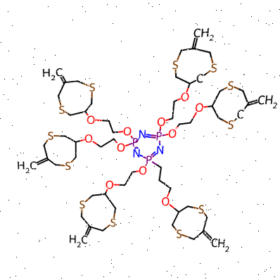 C=C1CSCC(OCCCP2(OCCOC3CSCC(=C)CSC3)=NP(OCCOC3CSCC(=C)CSC3)(OCCOC3CSCC(=C)CSC3)=NP(OCCOC3CSCC(=C)CSC3)(OCCOC3CSCC(=C)CSC3)=N2)CSC1